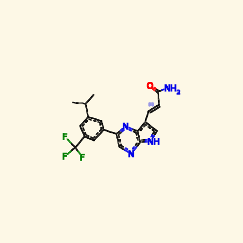 CC(C)c1cc(-c2cnc3[nH]cc(/C=C/C(N)=O)c3n2)cc(C(F)(F)F)c1